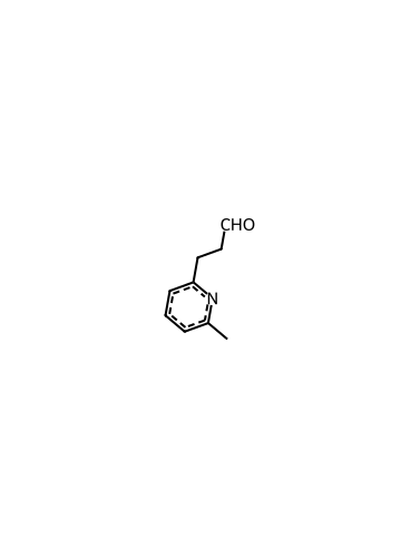 Cc1cccc(CCC=O)n1